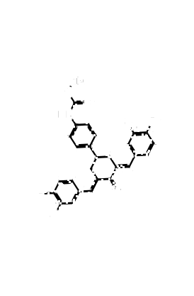 CC(C)(C)OC(=O)Nc1ccc(C2C/C(=C\c3ccc(F)c(F)c3)C(=O)/C(=C/c3ccc(F)c(F)c3)C2)cc1